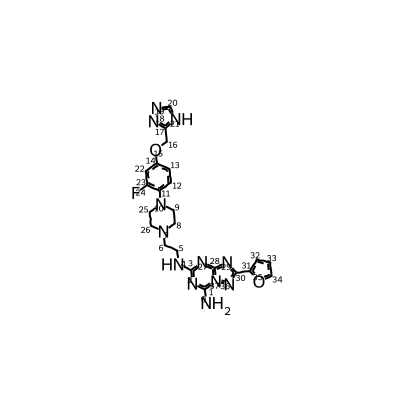 Nc1nc(NCCN2CCN(c3ccc(OCc4nnc[nH]4)cc3F)CC2)nc2nc(-c3ccco3)nn12